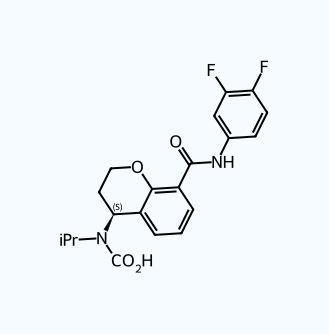 CC(C)N(C(=O)O)[C@H]1CCOc2c(C(=O)Nc3ccc(F)c(F)c3)cccc21